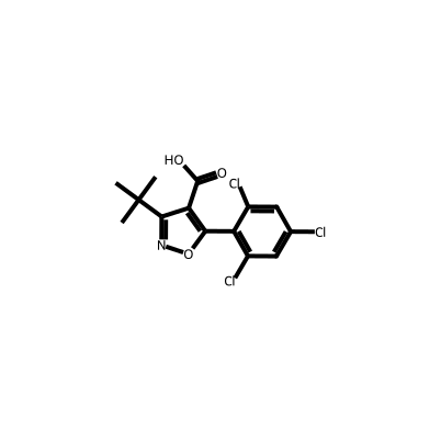 CC(C)(C)c1noc(-c2c(Cl)cc(Cl)cc2Cl)c1C(=O)O